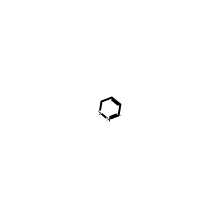 [C]1=NSCC=C1